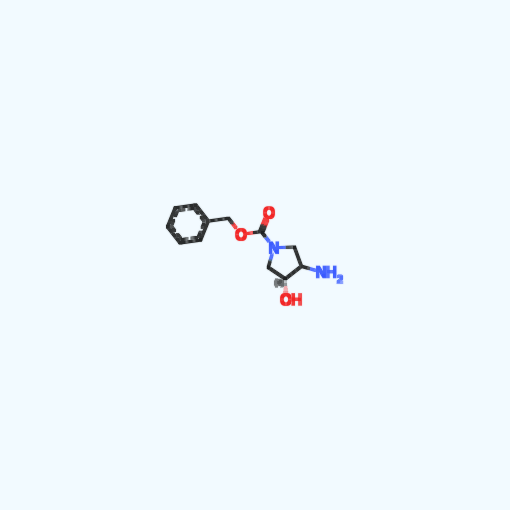 NC1CN(C(=O)OCc2ccccc2)C[C@H]1O